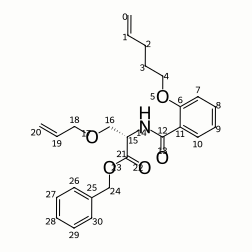 C=CCCCOc1ccccc1C(=O)N[C@@H](COCC=C)C(=O)OCc1ccccc1